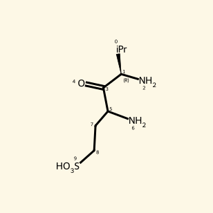 CC(C)[C@@H](N)C(=O)C(N)CCS(=O)(=O)O